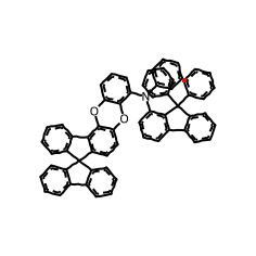 c1ccc(N(c2cccc3c2Oc2ccc4c(c2O3)-c2ccccc2C42c3ccccc3-c3ccccc32)c2cccc3c2C(c2ccccc2)(c2ccccc2)c2ccccc2-3)cc1